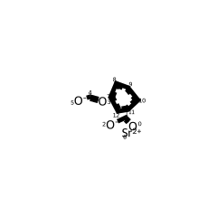 O=C[O-].O=C[O-].[Sr+2].c1ccccc1